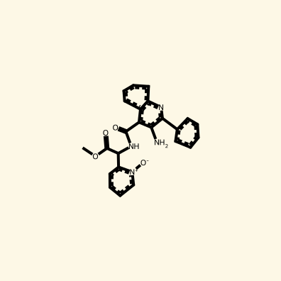 COC(=O)C(NC(=O)c1c(N)c(-c2ccccc2)nc2ccccc12)c1cccc[n+]1[O-]